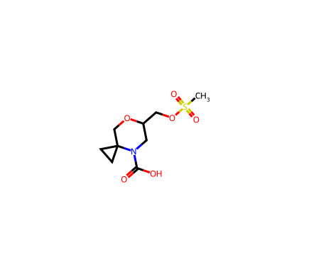 CS(=O)(=O)OCC1CN(C(=O)O)C2(CC2)CO1